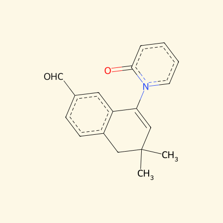 CC1(C)C=C(n2ccccc2=O)c2cc(C=O)ccc2C1